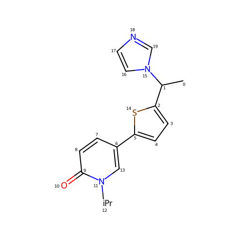 CC(c1ccc(-c2ccc(=O)n(C(C)C)c2)s1)n1ccnc1